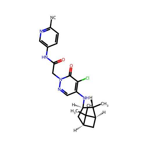 [C-]#[N+]c1ccc(NC(=O)Cn2ncc(N[C@@H]3C[C@@H]4C[C@H]([C@H]3C)C4(C)C)c(Cl)c2=O)cn1